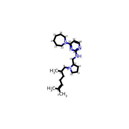 CC(C)=CCCC(C)CN1CCCC1CNc1nccc(N2CCCCCC2)n1